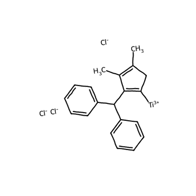 CC1=C(C)C(C(c2ccccc2)c2ccccc2)=[C]([Ti+3])C1.[Cl-].[Cl-].[Cl-]